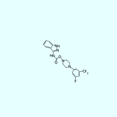 O=C(Nc1n[nH]c2ccccc12)ON1CCN(c2cc(F)cc(C(F)(F)F)c2)CC1